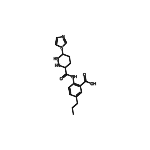 CCCc1ccc(NC(=O)C2CCC(n3ccnc3)NN2)c(C(=O)O)c1